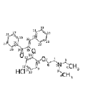 CCN(CC)CCOc1ccccc1OC(=Cc1ccccc1)C(=O)c1ccccc1.Cl